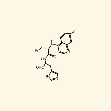 CC(C)C[C@H](Nc1ccnc2cc(Cl)ccc12)C(=O)N[C@H](C=O)Cc1cnc[nH]1